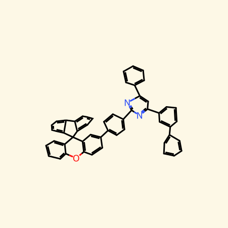 c1ccc(-c2cccc(-c3cc(-c4ccccc4)nc(-c4ccc(-c5ccc6c(c5)C5(c7ccccc7O6)c6ccccc6-c6ccccc65)cc4)n3)c2)cc1